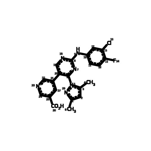 Cc1cc(C)n(-c2nc(Nc3ccc(F)c(Cl)c3)ncc2-c2cncc(C(=O)O)c2)n1